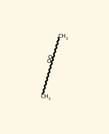 CCCCCCCCCCCCCCCCCC(=O)CC(=O)CCCCCCCCCCC